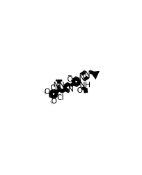 C=CC(=O)Nc1cc(-c2cc3c(cn2)cc(-c2c(Cl)c(OC)cc(OC)c2Cl)c2nccn23)c(OC)cc1N1CCN(CC2CC2)CC1